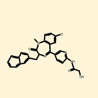 CN1C(=O)C(Cc2ccc3ccccc3c2)N=C(c2ccc(NC(=O)CO)nc2)c2cc(Cl)ccc21